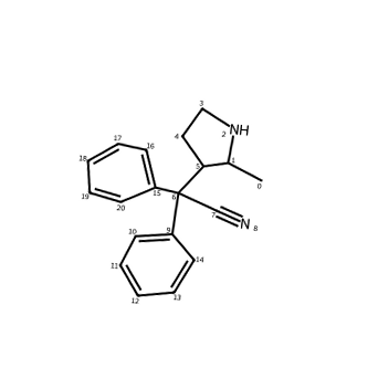 CC1NCCC1C(C#N)(c1ccccc1)c1ccccc1